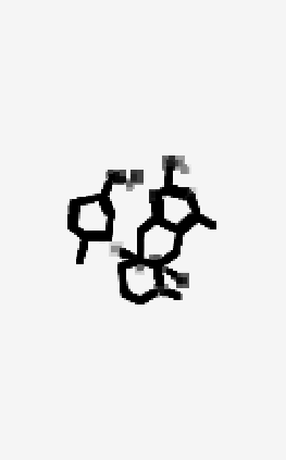 Cc1ccc(S(=O)(=O)O)cc1.Cc1nc(N)nc2c1C[C@@H]1[C@H](CCCN1C)C2